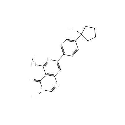 CC(C)Nc1nc(-c2ccc(C3(O)CCCC3)cc2)cc2ncn(C)c(=O)c12